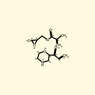 C.C=C(C)C(=O)OCC1CO1.C=CC(=O)C1CNCCO1